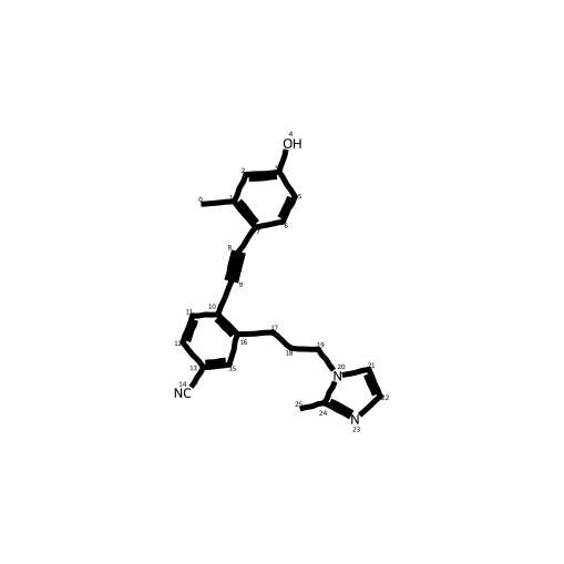 Cc1cc(O)ccc1C#Cc1ccc(C#N)cc1CCCn1ccnc1C